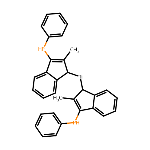 CC1=C(Pc2ccccc2)c2ccccc2[CH]1[Ti][CH]1C(C)=C(Pc2ccccc2)c2ccccc21